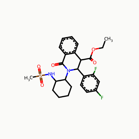 CCOC(=O)C1c2ccccc2C(=O)N(C2CCCCC2NS(C)(=O)=O)C1c1ccc(F)cc1F